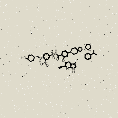 C#Cc1nc2[nH]cc(F)c2cc1Oc1cc(N2CCC3(CC2)CN([C@@H]2CCC[C@@H]2c2ccccc2C(C)C)C3)ccc1C(=O)NS(=O)(=O)c1ccc(NC[C@H]2CC[C@](C)(O)CC2)c([N+](=O)[O-])c1